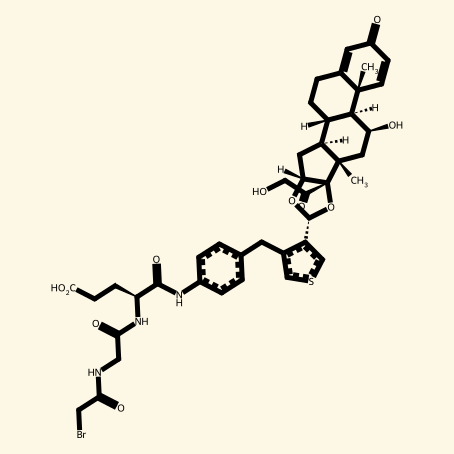 C[C@]12C=CC(=O)C=C1CC[C@@H]1[C@@H]2[C@@H](O)C[C@@]2(C)[C@H]1C[C@H]1O[C@@H](c3cscc3Cc3ccc(NC(=O)[C@H](CCC(=O)O)NC(=O)CNC(=O)CBr)cc3)O[C@]12C(=O)CO